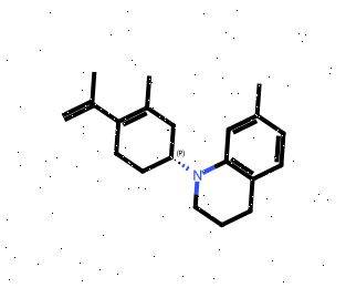 C=C(C)C1=C(C)C[C@H](N2CCCc3ccc(C)cc32)CC1